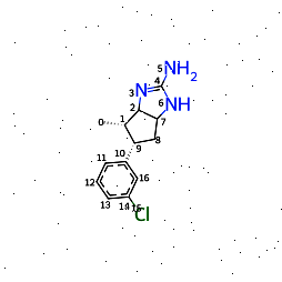 C[C@@H]1C2N=C(N)NC2C[C@@H]1c1cccc(Cl)c1